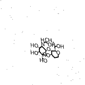 CC(O)N[C@H]1[C@H](O[C@H]2[C@H](O)CCO[C@@H]2CO)O[C@H](CO)[C@@H](O)[C@@H]1O